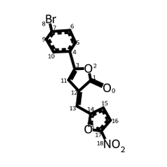 O=C1OC(c2ccc(Br)cc2)=C/C1=C/c1ccc([N+](=O)[O-])o1